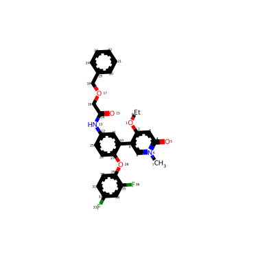 CCOc1cc(=O)n(C)cc1-c1cc(NC(=O)COCc2ccccc2)ccc1Oc1ccc(F)cc1F